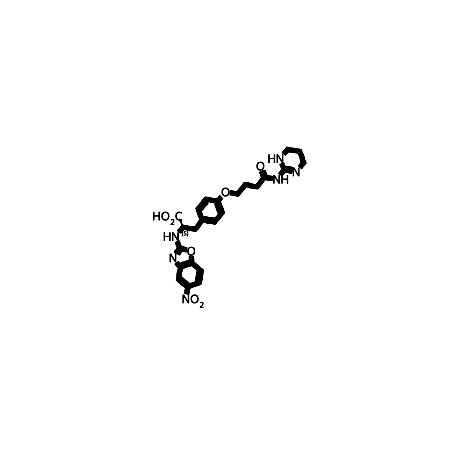 O=C(CCCOc1ccc(C[C@H](Nc2nc3cc([N+](=O)[O-])ccc3o2)C(=O)O)cc1)NC1=NCCCN1